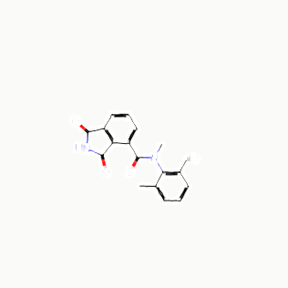 Cc1cccc(C(C)C)c1N(C)C(=O)c1cccc2c1C(=O)NC2=O